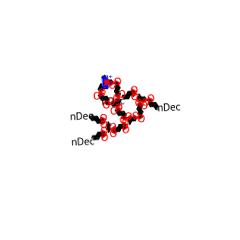 CCCCCCCCCCCCCC(=O)OCC(COC(=O)CCCCCCCCCCCCC)OC(=O)CCC(=O)OCC(COC(=O)CCC(=O)OC(COC(=O)CCCCCCCCCCCCC)COC(=O)CCCCCCCCCCCCC)OC(=O)CCC(=O)OC(COC(=O)CCC(=O)OCC[N+](C)(C)C)COC(=O)CCC(=O)OCC[N+](C)(C)C